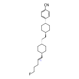 N#Cc1ccc([C@H]2CC[C@H](CC[C@H]3CC[C@H](/C=C/CCCF)CC3)CC2)cc1